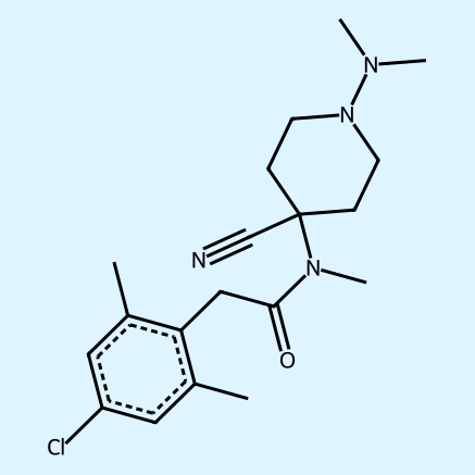 Cc1cc(Cl)cc(C)c1CC(=O)N(C)C1(C#N)CCN(N(C)C)CC1